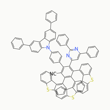 N#Cc1c(-c2ccc(-n3c4ccc(-c5ccccc5)cc4c4cc(-c5ccccc5)ccc43)cc2)c(-c2cc(-c3ccccc3)nc(-c3ccccc3)n2)c(-c2cccc3sc4ccccc4c23)c(-c2cccc3sc4ccccc4c23)c1-c1cccc2sc3ccccc3c12